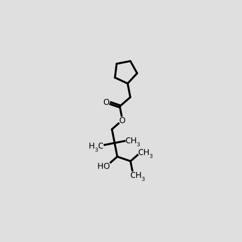 CC(C)C(O)C(C)(C)COC(=O)CC1CCCC1